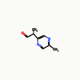 Cc1cnc(C(C)C=O)cn1